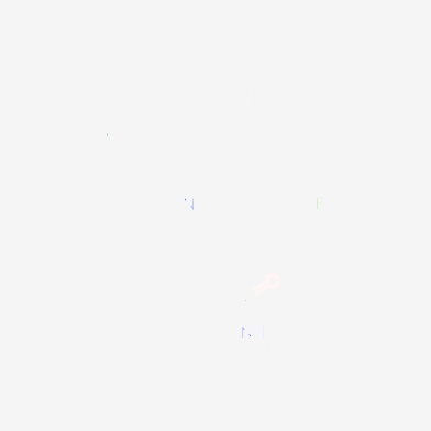 NC(=O)c1cccc2c1c1[c]c(F)ccc1n2Cc1cc(Cl)ccc1Cl